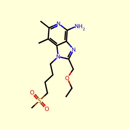 CCOCc1nc2c(N)nc(C)c(C)c2n1CCCCS(C)(=O)=O